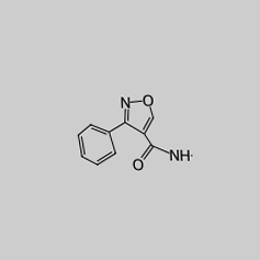 [NH]C(=O)c1conc1-c1ccccc1